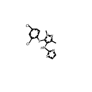 Cc1nn(C)c(Sc2ccc(Cl)cc2Cl)c1Nc1nccs1